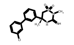 CN1C(=N)N[C@](C)(c2cccc(-c3cccc(Cl)c3)c2)CS1(=O)=O